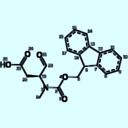 CN(C(=O)OCC1c2ccccc2-c2ccccc21)[C@H](C=O)CC(=O)O